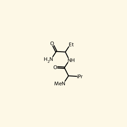 CCC(NC(=O)C(NC)C(C)C)C(N)=O